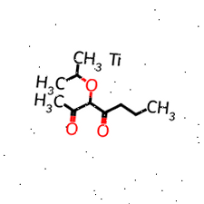 CCCC(=O)C(OC(C)C)C(C)=O.[Ti]